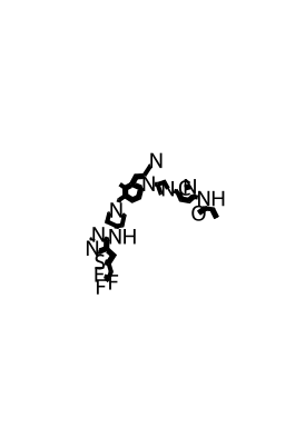 C=CC(=O)Nc1ccc(N2CC(n3c(C#N)cc4c(C)c(CN5CCC(Nc6ncnc7sc(CC(F)(F)F)cc67)CC5)ccc43)C2)cn1